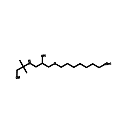 CCCCCCCCCCCCCCCCCOCC(O)CNC(C)(C)CO